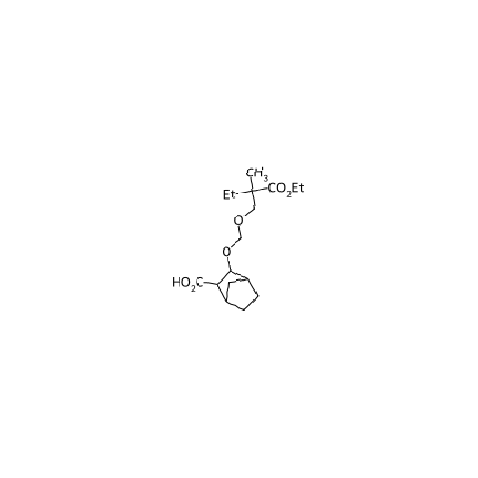 CCOC(=O)C(C)(CC)COCOC1C2CCC(C2)C1C(=O)O